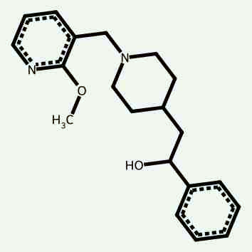 COc1ncccc1CN1CCC(CC(O)c2ccccc2)CC1